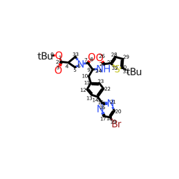 CC(C)(C)OC(=O)C1CN(C(=O)C(Cc2ccc(-c3ncc(Br)cn3)cc2)NC(=O)c2ccc(C(C)(C)C)s2)C1